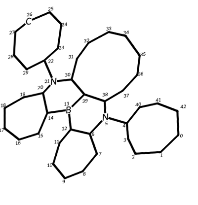 C1CCCC(N2C3CCCCCC3B3C4CCCCCC4N(C4CCCCCCC4)C4CCCCCCCC2C34)CCC1